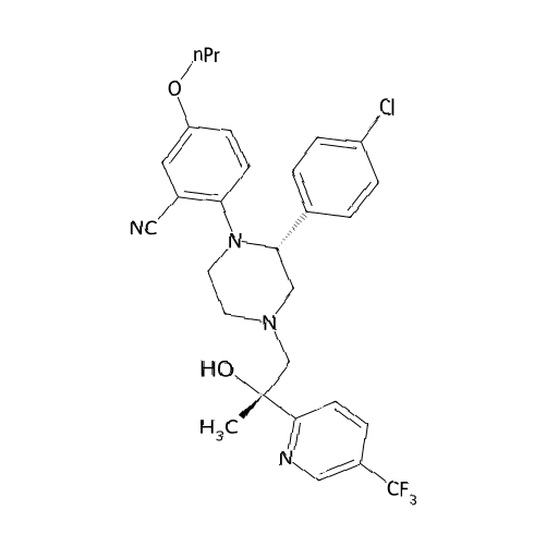 CCCOc1ccc(N2CCN(C[C@@](C)(O)c3ccc(C(F)(F)F)cn3)C[C@H]2c2ccc(Cl)cc2)c(C#N)c1